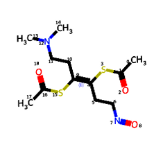 CC(=O)S/C(CCN=O)=C(\CCN(C)C)SC(C)=O